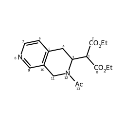 CCOC(=O)C(C(=O)OCC)C1Cc2ccncc2CN1C(C)=O